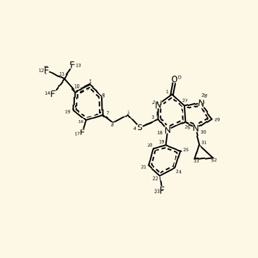 O=c1nc(SCCc2ccc(C(F)(F)F)cc2F)n(-c2ccc(F)cc2)c2c1ncn2C1CC1